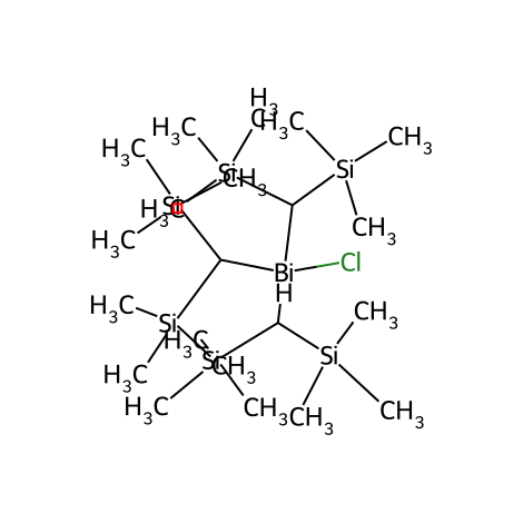 C[Si](C)(C)[CH]([Si](C)(C)C)[BiH]([Cl])([CH]([Si](C)(C)C)[Si](C)(C)C)[CH]([Si](C)(C)C)[Si](C)(C)C